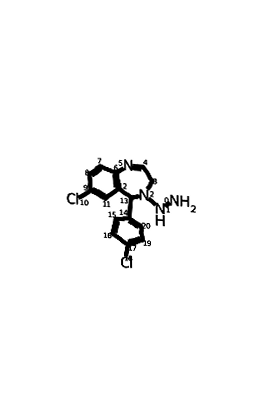 NNN1CC=Nc2ccc(Cl)cc2C1c1ccc(Cl)cc1